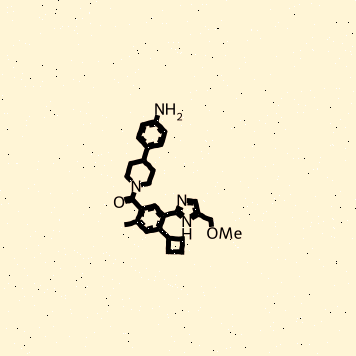 COCc1cnc(-c2cc(C(=O)N3CCC(c4ccc(N)cc4)CC3)c(C)cc2C2CCC2)[nH]1